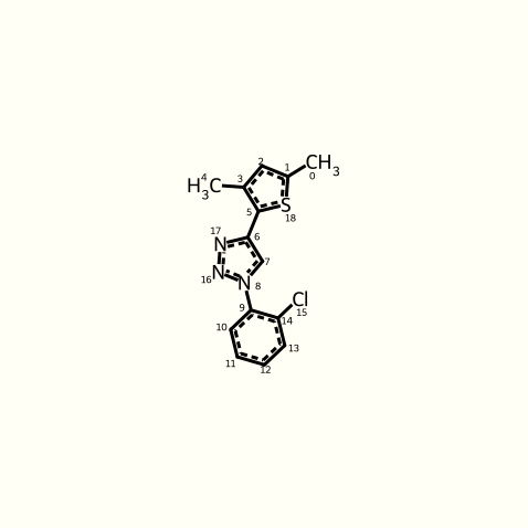 Cc1cc(C)c(-c2cn(-c3ccccc3Cl)nn2)s1